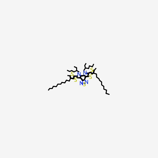 CCCCCCCCCCCc1c(C)sc2c1sc1c3c4nsnc4c4c5sc6c(CCCCCCCCCCC)c(C)sc6c5n(CC(CC)CCCC)c4c3n(CC(CC)CCCC)c21